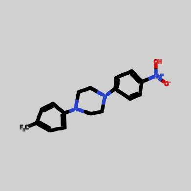 [O-][NH+](O)c1ccc(N2CCN(c3ccc(C(F)(F)F)cc3)CC2)cc1